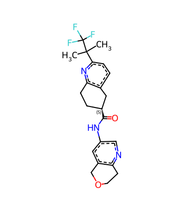 CC(C)(c1ccc2c(n1)CC[C@H](C(=O)Nc1cnc3c(c1)COCC3)C2)C(F)(F)F